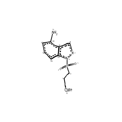 COCCS(=O)(=O)n1ncc2c(N)cccc21